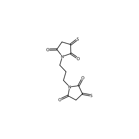 O=C1CC(=S)C(=O)N1CCCN1C(=O)CC(=S)C1=O